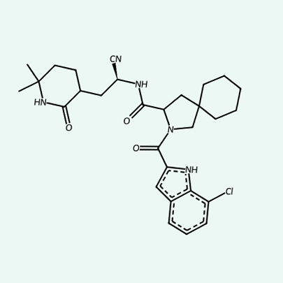 CC1(C)CCC(C[C@@H](C#N)NC(=O)C2CC3(CCCCC3)CN2C(=O)c2cc3cccc(Cl)c3[nH]2)C(=O)N1